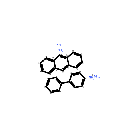 N.N.N.N.c1ccc(-c2ccccc2)cc1.c1ccc2cc3ccccc3cc2c1